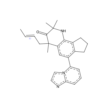 C/C=C/CC1(C)C(=O)C(C)(C)Nc2c1cc(-c1cccc3nccn13)c1c2CCC1